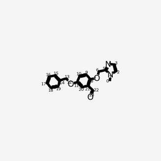 Cn1ccnc1COc1ccc(OCc2ccccc2)cc1C=O